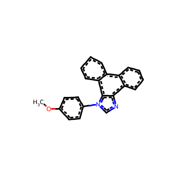 COc1ccc(-n2cnc3c4ccccc4c4ccccc4c32)cc1